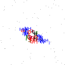 Nc1nc2c(nnn2[C@@H]2OCOCC[C@H]3[C@H](F)[C@H](n4nnc5c(N)ncnc54)O[C@@H]3COP(O)(=S)O[C@@H]2CF)c(=O)[nH]1